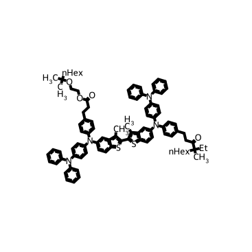 CCCCCCC(C)(C)OCCOC(=O)CCc1ccc(N(c2ccc(N(c3ccccc3)c3ccccc3)cc2)c2ccc3sc(-c4sc5ccc(N(c6ccc(CCC(=O)C(C)(CC)CCCCCC)cc6)c6ccc(N(c7ccccc7)c7ccccc7)cc6)cc5c4C)c(C)c3c2)cc1